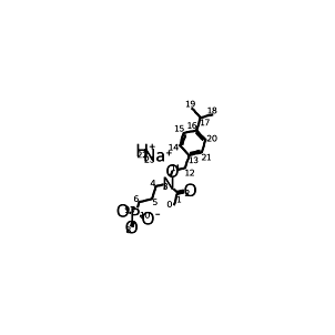 CC(=O)N(CCCP(=O)([O-])[O-])OCc1ccc(C(C)C)cc1.[H+].[Na+]